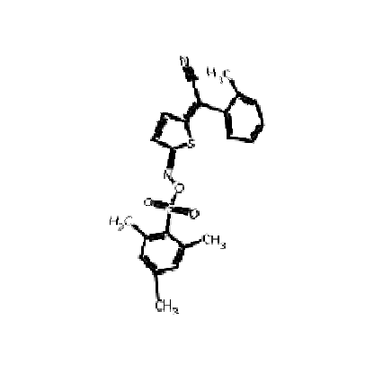 Cc1cc(C)c(S(=O)(=O)ON=C2C=CC(=C(C#N)c3ccccc3C)S2)c(C)c1